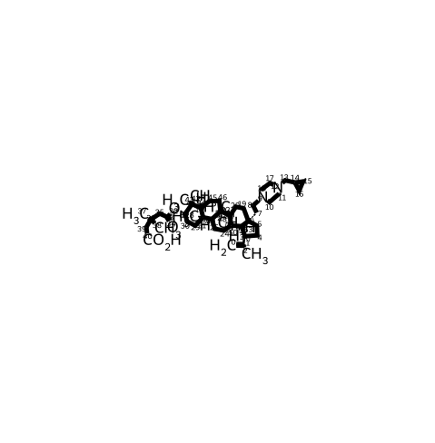 C=C(C)[C@@H]1CC[C@]2(CCN3CCN(CC4CC4)CC3)CC[C@]3(C)[C@H](CC[C@@H]4[C@@]5(C)CC[C@H](OC(=O)CC(C)(C)CC(=O)O)C(C)(C)[C@@H]5CC[C@]43C)[C@@H]12